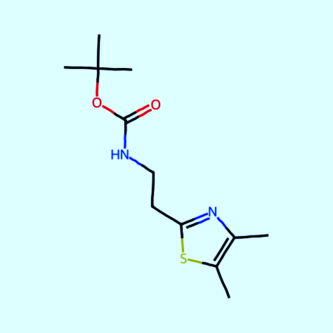 Cc1nc(CCNC(=O)OC(C)(C)C)sc1C